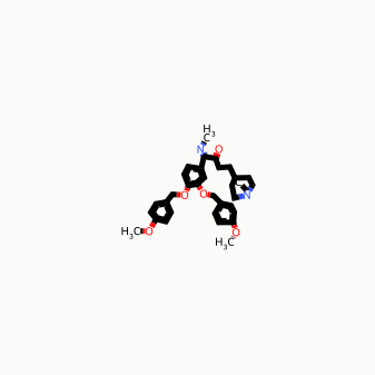 C/N=C(\C(=O)CCC12CCN(CC1)CC2)c1ccc(OCc2ccc(OC)cc2)c(OCc2ccc(OC)cc2)c1